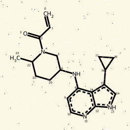 C=CC(=O)N1CC(Nc2ccnc3[nH]cc(C4CC4)c23)CCC1C